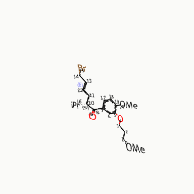 COCCCOc1cc(C(=O)[C@@H](C/C=C/CBr)C(C)C)ccc1OC